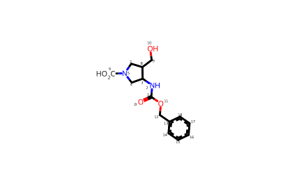 O=C(NC1CN(C(=O)O)CC1CO)OCc1ccccc1